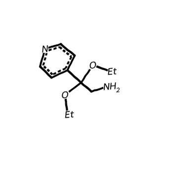 CCOC(CN)(OCC)c1ccncc1